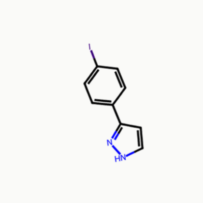 Ic1ccc(-c2cc[nH]n2)cc1